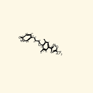 Cc1cc(-c2noc(C(F)(F)F)n2)cc(C)c1OCCCc1ccc(=O)[nH]c1